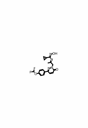 C/C(Cn1nc(-c2ccc(OC(F)F)cc2)ccc1=O)=N\C(=N/O)C1CC1